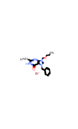 CC(=O)Nc1nc2c(c(=O)[nH]1)n(Cc1ccccc1)c[n+]2COCCOC(C)=O.[Br-]